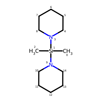 C[Si](C)(N1CCCCC1)N1CCCCC1